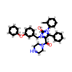 Cc1ccccc1-n1c(-c2ccccc2)c(C(=O)N2CCNCC2)n(Cc2cccc(Oc3ccccc3)c2)c1=O